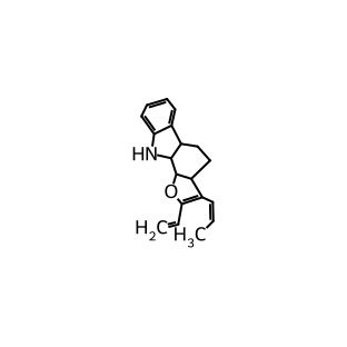 C=CC1=C(/C=C\C)C2CCC3c4ccccc4NC3C2O1